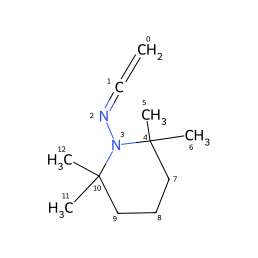 C=C=NN1C(C)(C)CCCC1(C)C